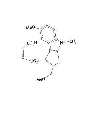 CNCC1Cc2c(n(C)c3ccc(OC)cc23)C1.O=C(O)/C=C\C(=O)O